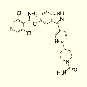 NC(=O)N1CCC(c2ccc(-c3n[nH]c4ccc(O[C@H](N)c5c(Cl)cncc5Cl)cc34)cn2)CC1